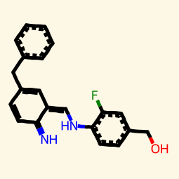 N=C1C=CC(Cc2ccccc2)=C/C1=C/Nc1ccc(CO)cc1F